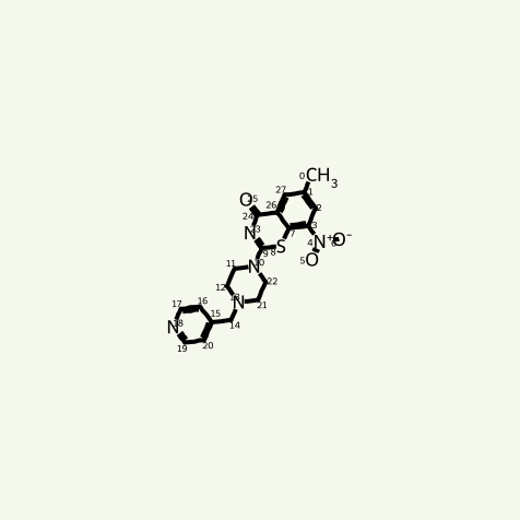 Cc1cc([N+](=O)[O-])c2sc(N3CCN(Cc4ccncc4)CC3)nc(=O)c2c1